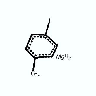 Cc1ccc(I)cc1.[MgH2]